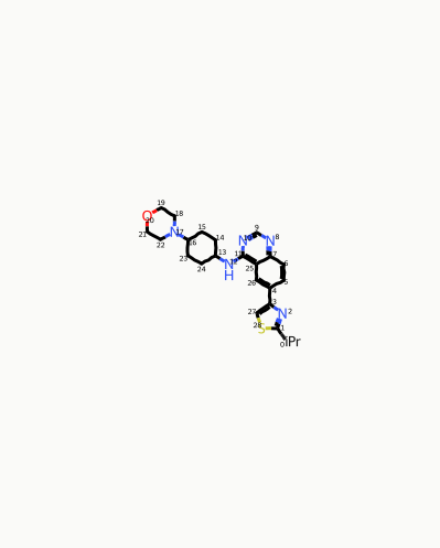 CC(C)c1nc(-c2ccc3ncnc(NC4CCC(N5CCOCC5)CC4)c3c2)cs1